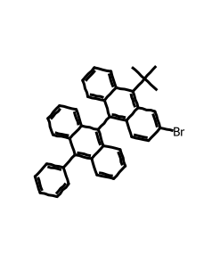 CC(C)(C)c1c2ccccc2c(-c2c3ccccc3c(-c3ccccc3)c3ccccc23)c2ccc(Br)cc12